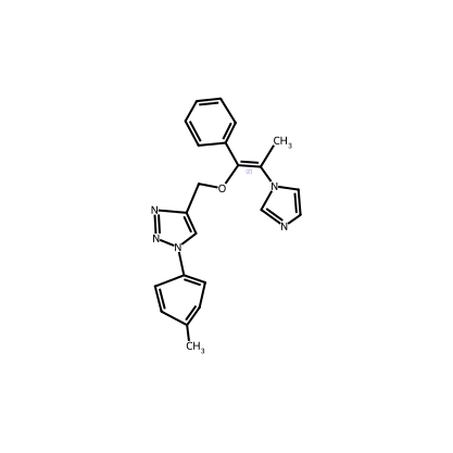 C/C(=C(/OCc1cn(-c2ccc(C)cc2)nn1)c1ccccc1)n1ccnc1